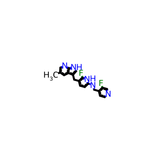 Cc1cnc2[nH]cc(Cc3ccc(NCc4ccncc4F)nc3F)c2c1